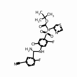 CC(C)(C)OC(=O)N(c1cscn1)S(=O)(=O)c1cc(Cl)c(N[C@@H](N)c2cc(C#N)ccc2F)cc1F